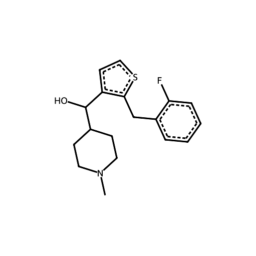 CN1CCC(C(O)c2ccsc2Cc2ccccc2F)CC1